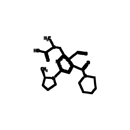 C[C@@H]1CCCN1c1cc(C(=O)N2CCCCC2)c(C=O)c(CN(C)C(=O)O)n1